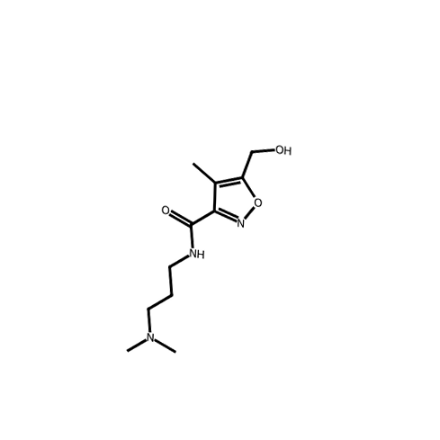 Cc1c(C(=O)NCCCN(C)C)noc1CO